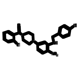 O=C(c1ccccc1Cl)N1CCN(c2ccc([N+](=O)[O-])c(NCc3ccc(Cl)cc3)c2)CC1